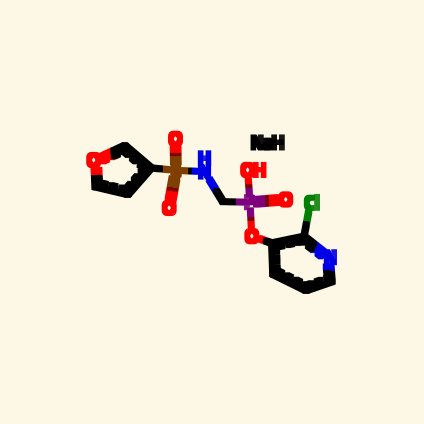 O=P(O)(CNS(=O)(=O)c1ccoc1)Oc1cccnc1Cl.[NaH]